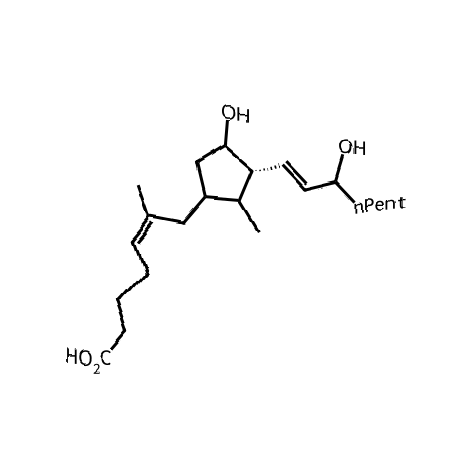 CCCCCC(O)/C=C/[C@H]1C(O)CC(C/C(C)=C\CCCC(=O)O)C1C